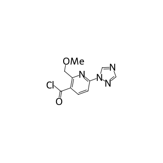 COCc1nc(-n2cncn2)ccc1C(=O)Cl